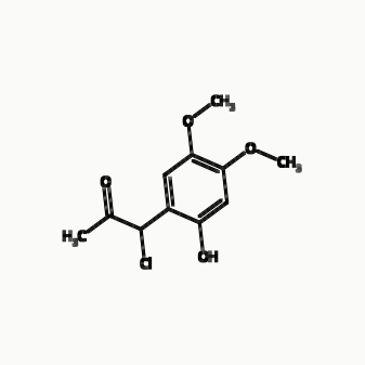 COc1cc(O)c(C(Cl)C(C)=O)cc1OC